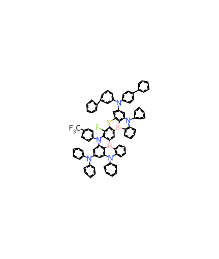 Fc1c2c(cc3c1N(c1ccc(C(F)(F)F)cc1)c1cc(N(c4ccccc4)c4ccccc4)cc4c1B3c1ccccc1N4c1ccccc1)B1c3ccccc3N(c3ccccc3)c3cc(N(c4ccc(-c5ccccc5)cc4)c4cccc(-c5ccccc5)c4)cc(c31)S2